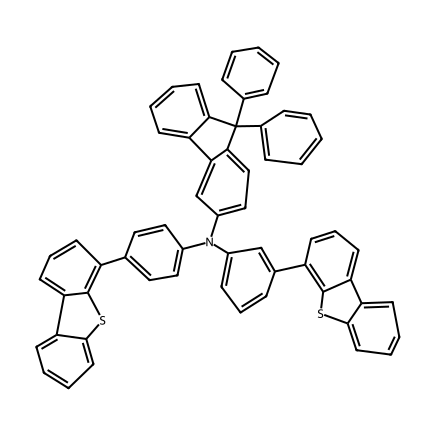 c1ccc(C2(c3ccccc3)c3ccccc3-c3cc(N(c4ccc(-c5cccc6c5sc5ccccc56)cc4)c4cccc(-c5cccc6c5sc5ccccc56)c4)ccc32)cc1